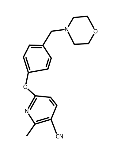 Cc1nc(Oc2ccc(CN3CCOCC3)cc2)ccc1C#N